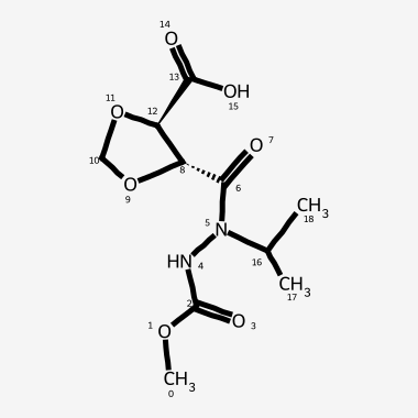 COC(=O)NN(C(=O)[C@@H]1OCO[C@H]1C(=O)O)C(C)C